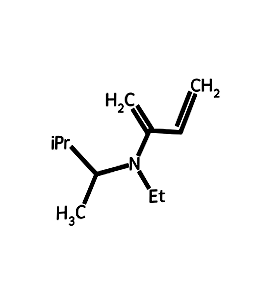 C=CC(=C)N(CC)C(C)C(C)C